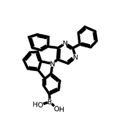 OB(O)c1ccc2c(c1)c1ccccc1n2-c1cnc(-c2ccccc2)nc1-c1ccccc1